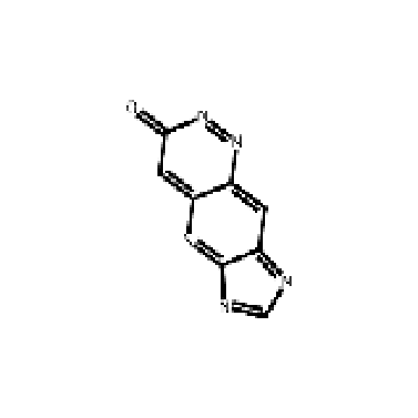 O=C1C=c2nc3c(cc2N=N1)=NC=N3